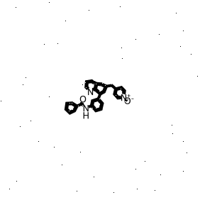 O=C(Nc1cccc(-c2cc(Cc3cc[n+]([O-])cc3)cc3cccnc23)c1)c1ccccc1